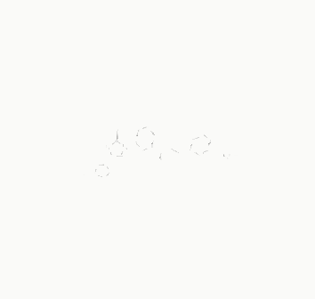 COc1cc(/C=C/C(=O)c2cccc(-n3cc(-c4ccc(Cl)o4)[nH]c3=O)c2)ccc1O